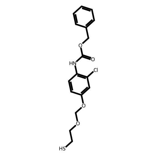 O=C(Nc1ccc(OCOCCS)cc1Cl)OCc1ccccc1